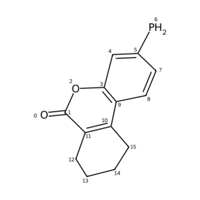 O=c1oc2cc(P)ccc2c2c1CCCC2